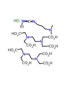 CCN=C=NCCCN(C)C.Cl.O=C(O)CN(CCN(CC(=O)O)CC(=O)O)CC(=O)O.O=C(O)CN(CCN(CC(=O)O)CC(=O)O)CC(=O)O